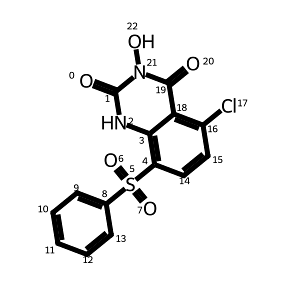 O=c1[nH]c2c(S(=O)(=O)c3ccccc3)ccc(Cl)c2c(=O)n1O